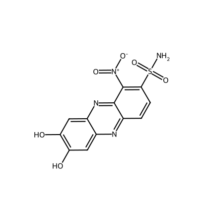 NS(=O)(=O)c1ccc2nc3cc(O)c(O)cc3nc2c1[N+](=O)[O-]